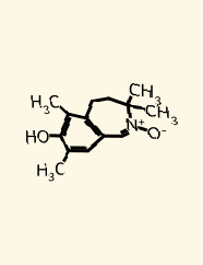 Cc1cc2c(c(C)c1O)CCC(C)(C)[N+]([O-])=C2